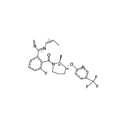 C=N/C(=N\C=C/C)c1cccc(F)c1C(=O)N1CCC[C@@H](Oc2ccc(C(F)(F)F)cn2)[C@@H]1C